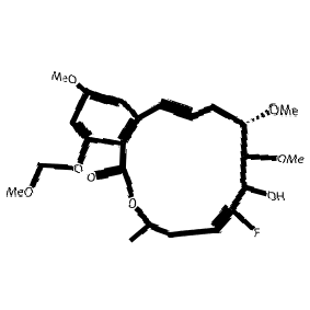 COCOc1cc(OC)cc2c1C(=O)OC(C)C/C=C(/F)C(O)C(OC)[C@@H](OC)C/C=C/2